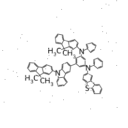 CC1(C)c2ccccc2-c2ccc(N(c3ccccc3)c3cc(-c4ccc5c(c4)c4ccccc4n5-c4ccc5c(c4)C(C)(C)c4ccccc4-5)cc(N(c4ccccc4)c4ccc5sc6ccccc6c5c4)c3)cc21